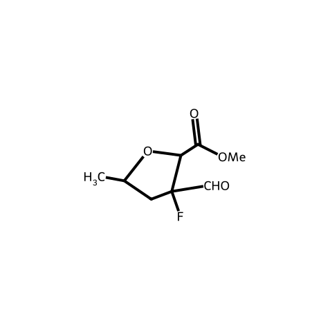 COC(=O)C1OC(C)CC1(F)C=O